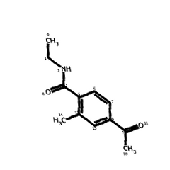 CCNC(=O)c1ccc(C(C)=O)cc1C